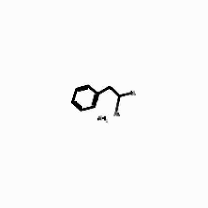 CCC(Cc1ccccc1)C(C)=O.[AlH3]